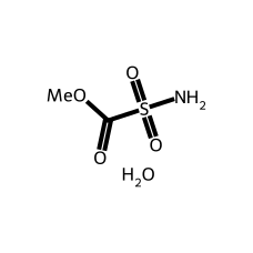 COC(=O)S(N)(=O)=O.O